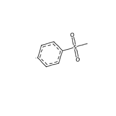 CS(=O)(=O)c1cc[c]cc1